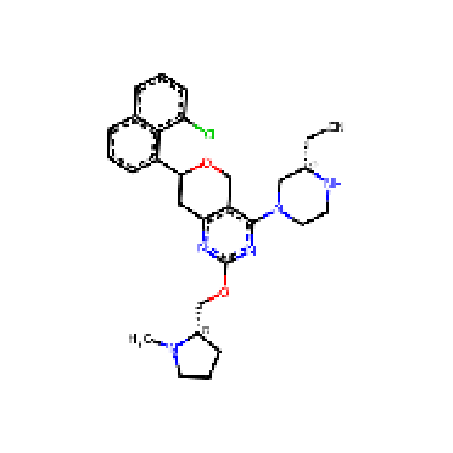 CN1CCC[C@H]1COc1nc2c(c(N3CCN[C@@H](CC#N)C3)n1)COC(c1cccc3cccc(Cl)c13)C2